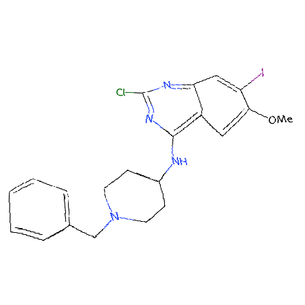 COc1cc2c(NC3CCN(Cc4ccccc4)CC3)nc(Cl)nc2cc1I